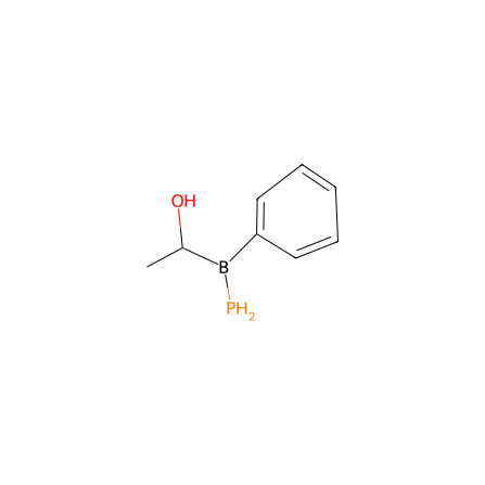 CC(O)B(P)c1ccccc1